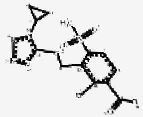 CS(=O)(=O)c1ccc(C(=O)Cl)c(Cl)c1CSc1nnnn1C1CC1